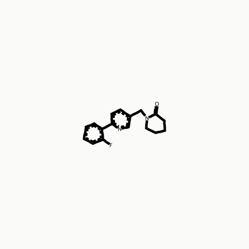 O=C1CCCCN1Cc1ccc(-c2ccccc2F)nc1